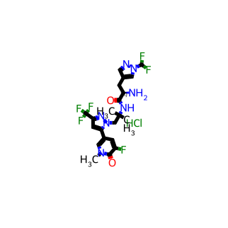 Cl.Cn1cc(-c2cc(C(F)(F)F)nn2CC(C)(C)NC(=O)[C@H](N)Cc2cnn(C(F)F)c2)cc(F)c1=O